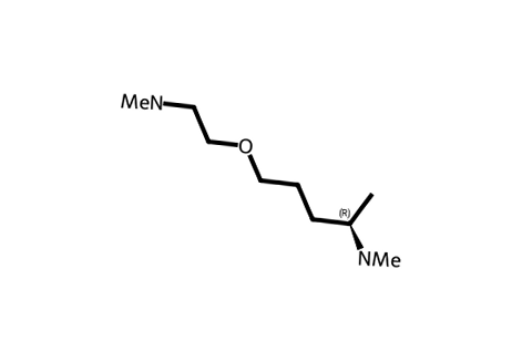 CNCCOCCC[C@@H](C)NC